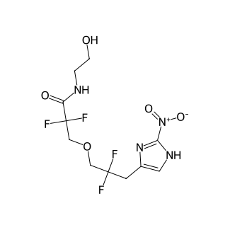 O=C(NCCO)C(F)(F)COCC(F)(F)Cc1c[nH]c([N+](=O)[O-])n1